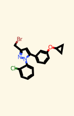 Clc1ccccc1-n1nc(CBr)cc1-c1cccc(OC2CC2)c1